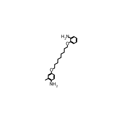 Cc1cc(OCCCCCCCCCOc2ccccc2N)ccc1N